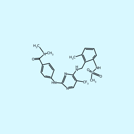 Cc1cccc(NS(C)(=O)=O)c1CNc1nc(Nc2ccc(C(=O)N(C)C)cc2)ncc1C(F)(F)F